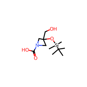 CC(C)(C)[Si](C)(C)OC1(CO)CN(C(=O)O)C1